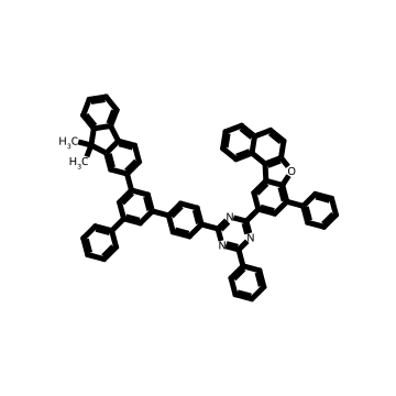 CC1(C)c2ccccc2-c2ccc(-c3cc(-c4ccccc4)cc(-c4ccc(-c5nc(-c6ccccc6)nc(-c6cc(-c7ccccc7)c7oc8ccc9ccccc9c8c7c6)n5)cc4)c3)cc21